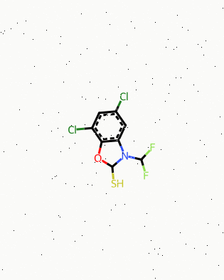 FC(F)N1c2cc(Cl)cc(Cl)c2OC1S